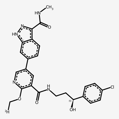 [2H]COc1ncc(-c2ccc3c(C(=O)NC)n[nH]c3c2)cc1C(=O)NCC[C@H](O)c1ccc(Cl)cc1